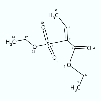 CC=C(C(=O)OCC)S(=O)(=O)OCC